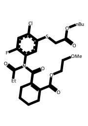 CCCCOC(=O)CSc1cc(N(C(=O)CC)C(=O)C2=C(C(=O)OCCOC)CCCC2)c(F)cc1Cl